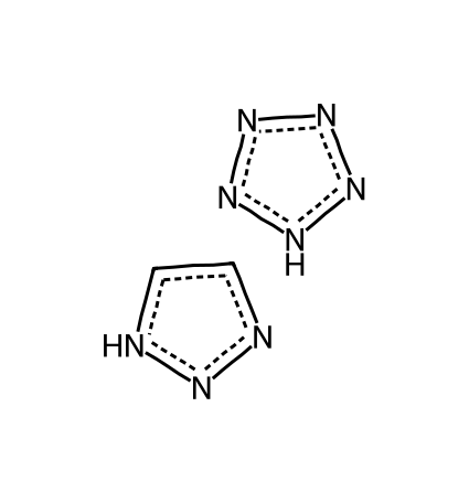 c1c[nH]nn1.n1nn[nH]n1